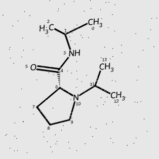 CC(C)NC(=O)[C@H]1CCCN1C(C)C